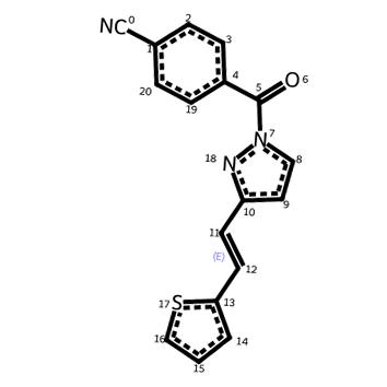 N#Cc1ccc(C(=O)n2ccc(/C=C/c3cccs3)n2)cc1